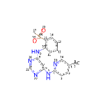 CC(=O)c1ccc(Nc2cc(Nc3ccccc3S(C)(=O)=O)ncn2)nc1